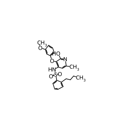 CCCCc1ccccc1S(=O)(=O)Nc1cc(C)nc(O)c1Oc1cccc(OC)c1